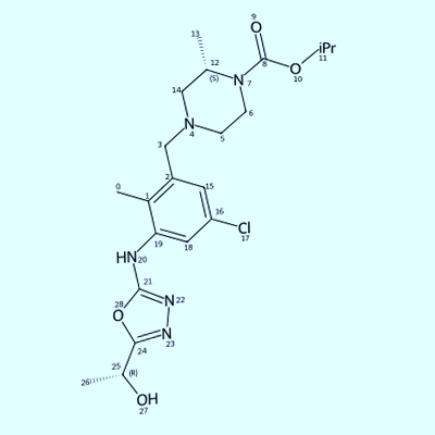 Cc1c(CN2CCN(C(=O)OC(C)C)[C@@H](C)C2)cc(Cl)cc1Nc1nnc([C@@H](C)O)o1